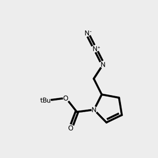 CC(C)(C)OC(=O)N1C=CCC1CN=[N+]=[N-]